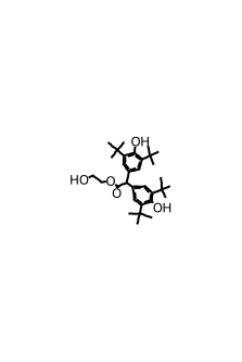 CC(C)(C)c1cc(C(C(=O)OCCO)c2cc(C(C)(C)C)c(O)c(C(C)(C)C)c2)cc(C(C)(C)C)c1O